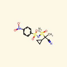 CC(C#N)(C1CC1)S(C)(=O)=NS(=O)(=O)c1ccc([N+](=O)[O-])cc1